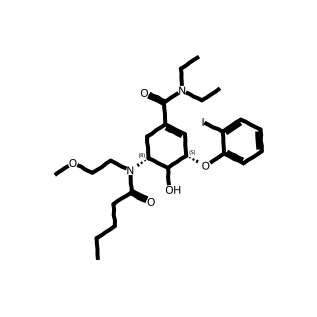 CCCCC(=O)N(CCOC)[C@@H]1CC(C(=O)N(CC)CC)=C[C@H](Oc2ccccc2I)C1O